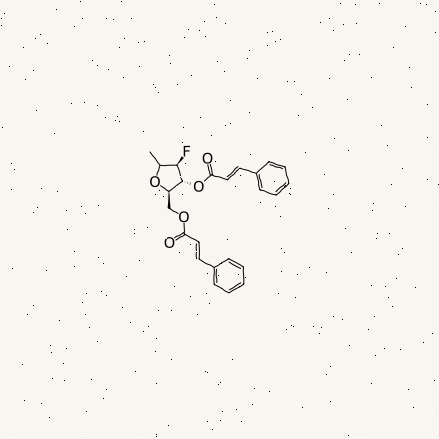 CC1O[C@H](COC(=O)/C=C/c2ccccc2)[C@@H](OC(=O)/C=C/c2ccccc2)[C@@H]1F